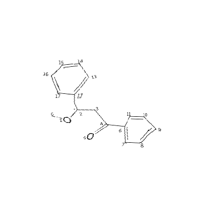 CO[C](CC(=O)c1ccccc1)c1ccccc1